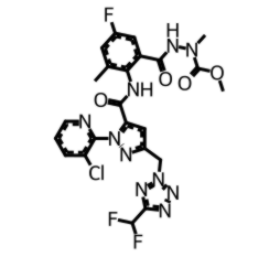 COC(=O)N(C)NC(=O)c1cc(F)cc(C)c1NC(=O)c1cc(Cn2nnc(C(F)F)n2)nn1-c1ncccc1Cl